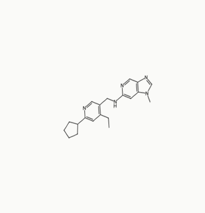 CCc1cc(C2CCCC2)ncc1CNc1cc2c(cn1)ncn2C